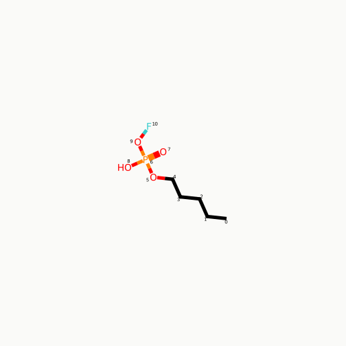 CCCCCOP(=O)(O)OF